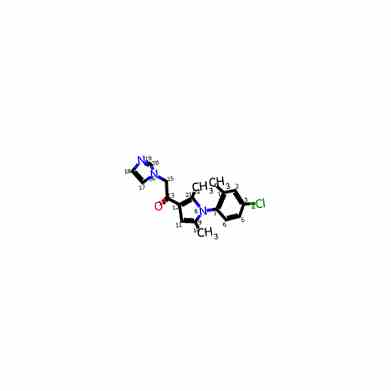 Cc1cc(Cl)ccc1-n1c(C)cc(C(=O)Cn2ccnc2)c1C